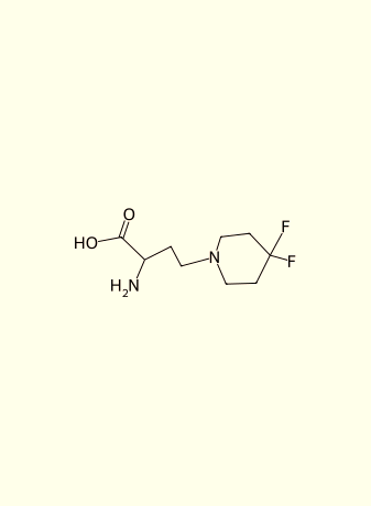 NC(CCN1CCC(F)(F)CC1)C(=O)O